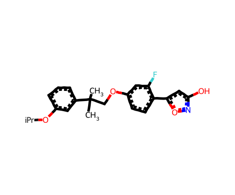 CC(C)Oc1cccc(C(C)(C)COc2ccc(-c3cc(O)no3)c(F)c2)c1